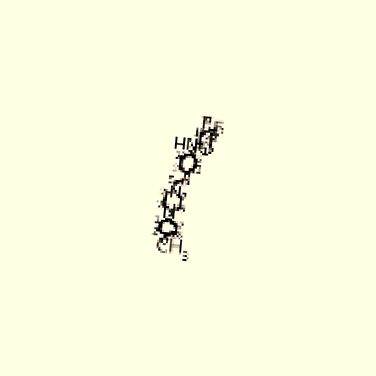 Cc1ccc(N2CCN(CC[C@H]3CC[C@H](NC(=O)CC(F)(F)F)CC3)CC2)cc1